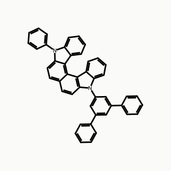 c1ccc(-c2cc(-c3ccccc3)cc(-n3c4ccccc4c4c5c(ccc6c5c5ccccc5n6-c5ccccc5)ccc43)c2)cc1